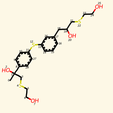 CC(O)(CSCCO)c1ccc(Sc2cccc(CC(O)CSCCO)c2)cc1